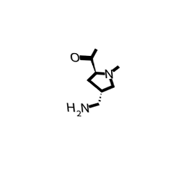 CC(=O)[C@@H]1C[C@@H](CN)CN1C